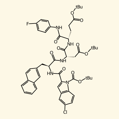 CC(C)(C)OC(=O)CC[C@H](NC(=O)[C@H](CC(=O)OC(C)(C)C)NC(=O)[C@H](Cc1ccc2ccccc2c1)NC(=O)c1cc2cc(Cl)ccc2n1C(=O)OC(C)(C)C)C(=O)Nc1ccc(F)cc1